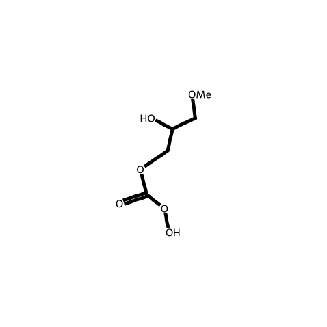 COCC(O)COC(=O)OO